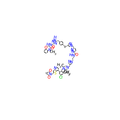 Cc1cc(Cl)cc(-c2ccnc3cc(CN4C(=O)C5CC5C4=O)sc23)c1CN1[C@@H](C)CN(Cc2cnn(CCCNC(=O)c3ccc(Cn4cc([C@H]5C[C@H]5c5ccc(Cc6nc(C(=O)N[C@H]7COc8ccccc8N(C)C7=O)n[nH]6)cc5)cn4)nn3)c2)C[C@@H]1C